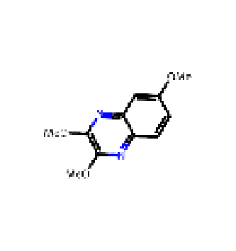 COc1ccc2nc(OC)c(OC)nc2c1